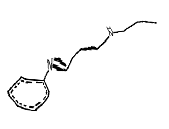 CCCNCCC=Nc1ccccc1